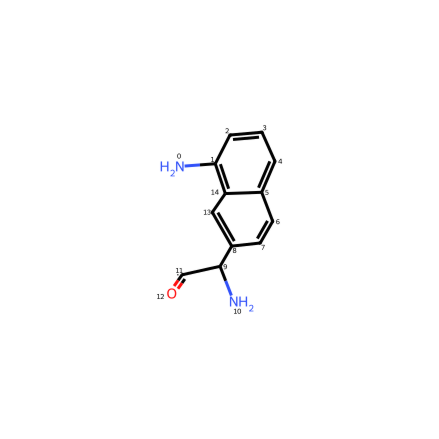 Nc1cccc2ccc(C(N)[C]=O)cc12